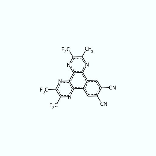 N#Cc1cc2c(cc1C#N)c1nc(C(F)(F)F)c(C(F)(F)F)nc1c1nc(C(F)(F)F)c(C(F)(F)F)nc21